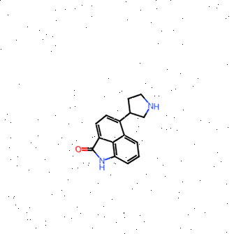 O=C1Nc2cccc3c(C4CCNC4)ccc1c23